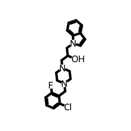 OC(CN1CCN(Cc2c(F)cccc2Cl)CC1)Cn1ccc2ccccc21